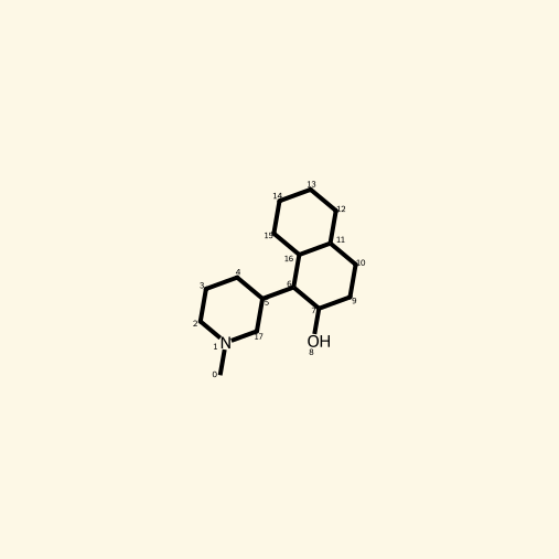 CN1CCCC(C2C(O)CCC3CCCCC32)C1